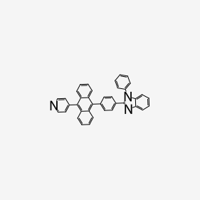 c1ccc(-n2c(-c3ccc(-c4c5ccccc5c(-c5ccncc5)c5ccccc45)cc3)nc3ccccc32)cc1